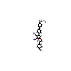 CCc1ccc(C2CCC(c3cc4c(c(C#N)c3C#N)OC(C3CCC(C)CC3)CC4)CC2)cc1